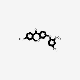 O=C1c2ccc([N+](=O)[O-])cc2COc2cc(Nc3ccc(C(F)(F)F)cc3[N+](=O)[O-])ccc21